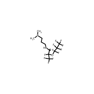 CN(C)CCCNC(=O)C(F)(OC(F)(F)C(F)(F)C(F)(F)F)C(F)(F)F